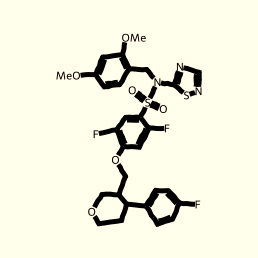 COc1ccc(CN(c2ncns2)S(=O)(=O)c2cc(F)c(OCC3COCCC3c3ccc(F)cc3)cc2F)c(OC)c1